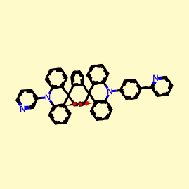 c1ccc(-c2ccc(N3c4ccccc4C4(c5ccccc53)c3ccccc3C3(c5ccccc5N(c5cccnc5)c5ccccc53)c3ccccc34)cc2)nc1